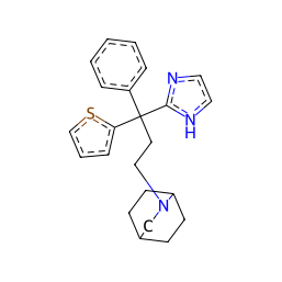 c1ccc(C(CCN2CC3CCC2CC3)(c2ncc[nH]2)c2cccs2)cc1